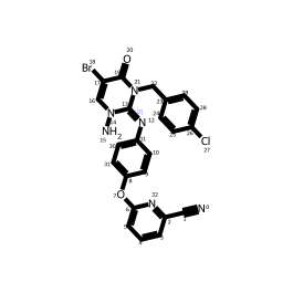 N#Cc1cccc(Oc2ccc(/N=c3\n(N)cc(Br)c(=O)n3Cc3ccc(Cl)cc3)cc2)n1